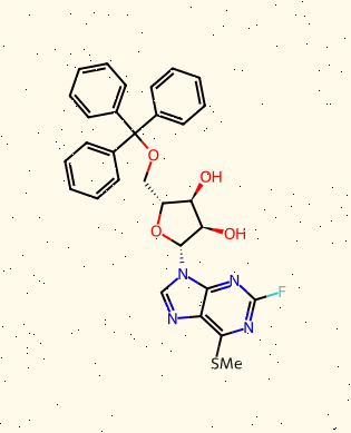 CSc1nc(F)nc2c1ncn2[C@@H]1O[C@H](COC(c2ccccc2)(c2ccccc2)c2ccccc2)[C@@H](O)[C@H]1O